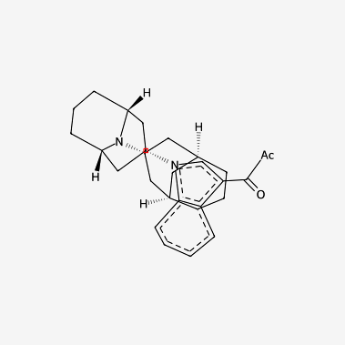 CC(=O)C(=O)c1cn([C@H]2C[C@H]3CCC[C@@H](C2)N3[C@H]2C[C@@H]3CCC[C@@H](C3)C2)c2ccccc12